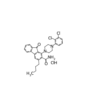 CCCCc1cc2c(c(N3CCN(c4cccc(Cl)c4Cl)CC3)c1C(N)=O)C(=O)c1ccccc1-2.Cl